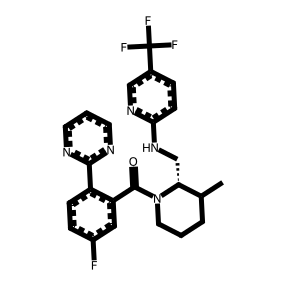 CC1CCCN(C(=O)c2cc(F)ccc2-c2ncccn2)[C@@H]1CNc1ccc(C(F)(F)F)cn1